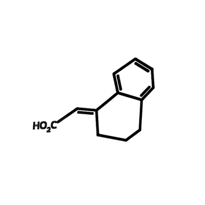 O=C(O)C=C1CCCc2ccccc21